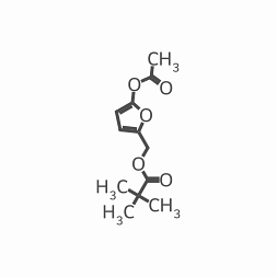 CC(=O)Oc1ccc(COC(=O)C(C)(C)C)o1